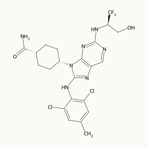 Cc1cc(Cl)c(Nc2nc3cnc(N[C@H](CO)C(F)(F)F)nc3n2[C@H]2CC[C@@H](C(N)=O)CC2)c(Cl)c1